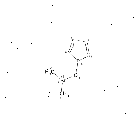 C[SiH](C)Op1[c]ccc1